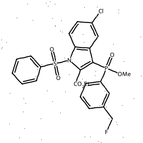 CCOC(=O)c1c(P(=O)(OC)c2cccc(CF)c2)c2cc(Cl)ccc2n1S(=O)(=O)c1ccccc1